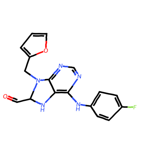 O=CC1Nc2c(Nc3ccc(F)cc3)ncnc2N1Cc1ccco1